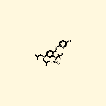 CC(C)CN(CC(C)C)c1ccc(N=Nc2ccc(Br)cn2)c(N([SH](=O)=O)C(F)(F)F)c1